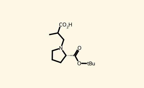 CC(CN1CCC[C@H]1C(=O)OC(C)(C)C)C(=O)O